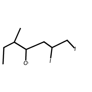 CCC(C)C([O])CC(I)CI